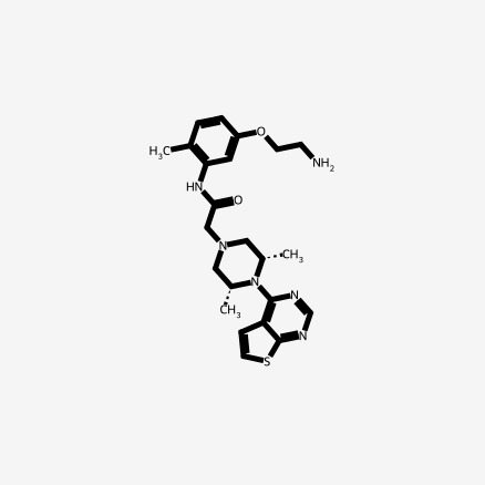 Cc1ccc(OCCN)cc1NC(=O)CN1C[C@@H](C)N(c2ncnc3sccc23)[C@@H](C)C1